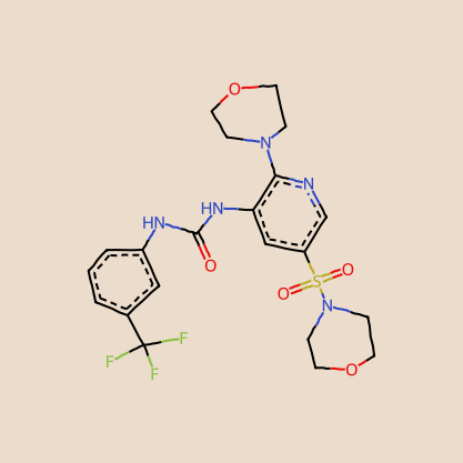 O=C(Nc1cccc(C(F)(F)F)c1)Nc1cc(S(=O)(=O)N2CCOCC2)cnc1N1CCOCC1